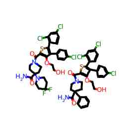 NC(=O)C1(N2CCC(F)(F)CC2)CCN(C(=O)c2sc(-c3ccc(Cl)cc3Cl)c(-c3ccc(Cl)cc3)c2OCCO)CC1.NC(=O)C1(c2ccccc2)CCN(C(=O)c2sc(-c3ccc(Cl)cc3Cl)c(-c3ccc(Cl)cc3)c2OCCO)CC1